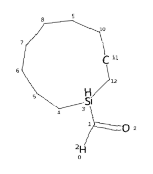 [2H]C(=O)[SiH]1CCCCCCCCC1